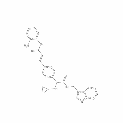 Nc1ccccc1NC(=O)C=Cc1ccc(C(NC2CC2)C(=O)NCn2nnc3ccccc32)cc1